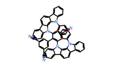 N#Cc1cc(C#N)cc(-c2c(-n3c4ccccc4c4ccc5c6ccccc6n(-c6ccccc6)c5c43)cc(C#N)cc2-n2c3ccccc3c3ccc4c5ccccc5n(-c5ccccc5)c4c32)c1